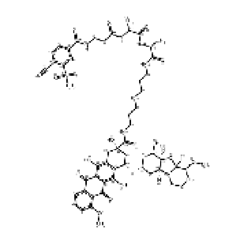 COc1cccc2c1C(=O)c1c(O)c3c(c(O)c1C2=O)C[C@@](O)(C(=O)NCCCNCCCNC(=O)[C@H](C)NC(=O)[C@H](C)NC(=O)CCNC(=O)c1ccc(C#N)c(S(C)(=O)=O)n1)C[C@@H]3O[C@H]1C[C@H]2[C@H](O[C@@H]3[C@@H](OC)OCCN32)[C@H](C)O1